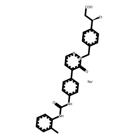 CC[C@H](CC(=O)[O-])c1ccc(Cn2nccc(-c3ccc(NC(=O)Nc4ccccc4C)cc3)c2=O)cc1.[Na+]